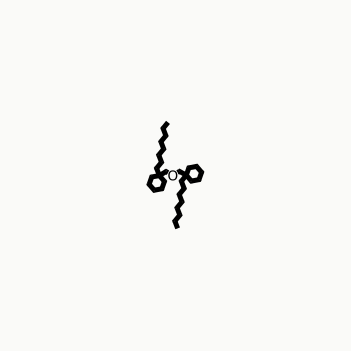 CCCCCCCCC1(COCC2(CCCCCCCC)CCCCC2)CCCCC1